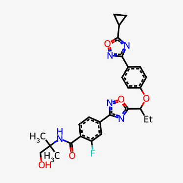 CCC(Oc1ccc(-c2noc(C3CC3)n2)cc1)c1nc(-c2ccc(C(=O)NC(C)(C)CO)c(F)c2)no1